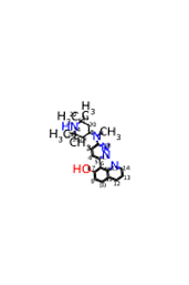 CN(c1ccc(-c2c(O)ccc3cccnc23)nn1)C1CC(C)(C)NC(C)(C)C1